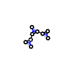 C1=CC2C(C=C1c1ccc3c(c1)c1cc(-c4ccc5c(c4)c4ccccc4n5-c4ccccc4)ccc1n3-c1ccccc1)c1ccccc1N2c1ccccc1